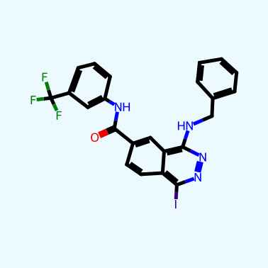 O=C(Nc1cccc(C(F)(F)F)c1)c1ccc2c(I)nnc(NCc3ccccc3)c2c1